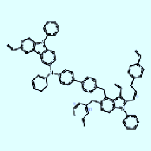 C=C/C=C(\C=C/C)Cc1ccc2c(c(C=C)c(/C=C\Cc3ccc(C=C)cc3)n2-c2ccccc2)c1Cc1ccc(-c2ccc(N(C3=CC=CCC3)c3ccc4c(c3)c3cc(C=C)ccc3n4-c3ccccc3)cc2)cc1